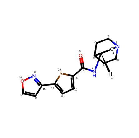 O=C(N[C@H]1CN2CCC1CC2)c1ccc(-c2ccon2)s1